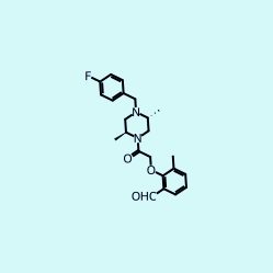 Cc1cccc(C=O)c1OCC(=O)N1C[C@@H](C)N(Cc2ccc(F)cc2)C[C@@H]1C